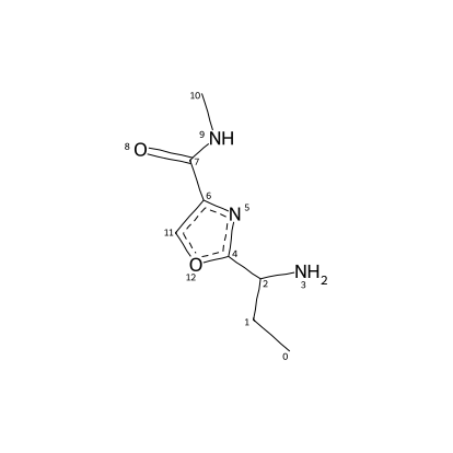 CCC(N)c1nc(C(=O)NC)co1